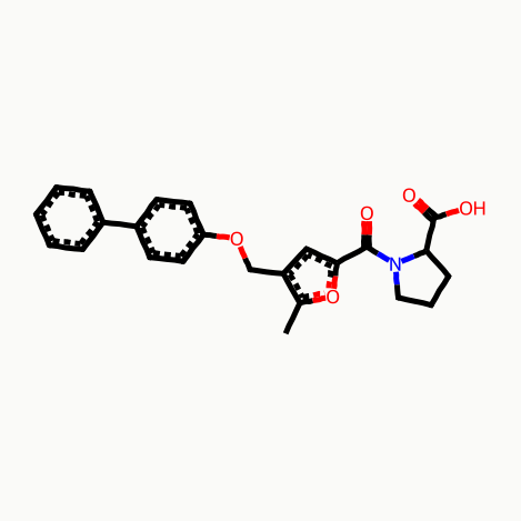 Cc1oc(C(=O)N2CCCC2C(=O)O)cc1COc1ccc(-c2ccccc2)cc1